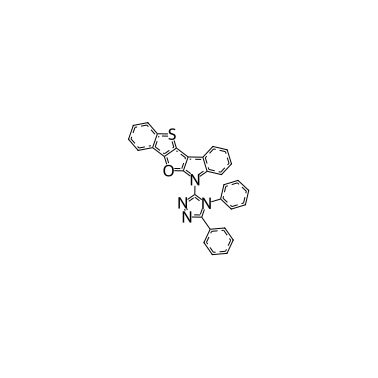 c1ccc(-c2nnc(-n3c4ccccc4c4c5sc6ccccc6c5oc43)n2-c2ccccc2)cc1